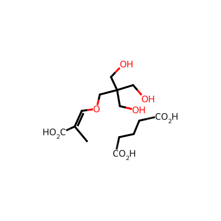 CC(=COCC(CO)(CO)CO)C(=O)O.O=C(O)CCCC(=O)O